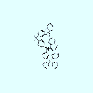 CC1(C)c2ccc(N(c3ccc4c(c3)C(c3ccccc3)(c3ccccc3)c3ccccc3-4)c3cccc4ccccc34)cc2-c2c1ccc1c2oc2ccccc21